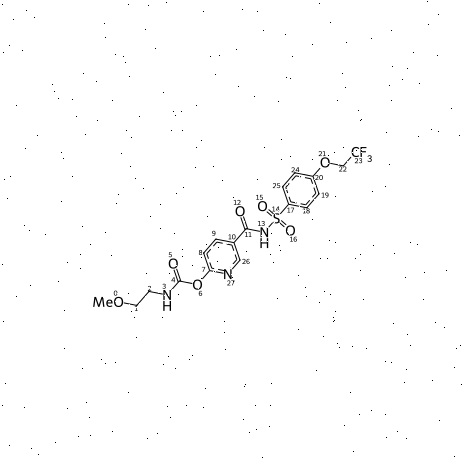 COCCNC(=O)Oc1ccc(C(=O)NS(=O)(=O)c2ccc(OCC(F)(F)F)cc2)cn1